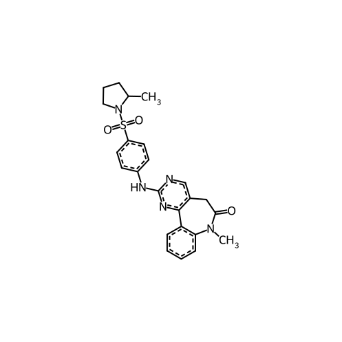 CC1CCCN1S(=O)(=O)c1ccc(Nc2ncc3c(n2)-c2ccccc2N(C)C(=O)C3)cc1